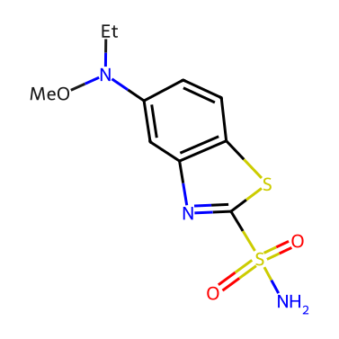 CCN(OC)c1ccc2sc(S(N)(=O)=O)nc2c1